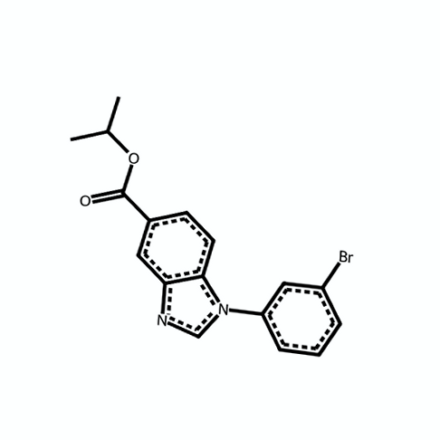 CC(C)OC(=O)c1ccc2c(c1)ncn2-c1cccc(Br)c1